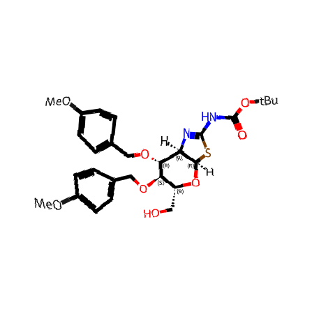 COc1ccc(CO[C@@H]2[C@H]3N=C(NC(=O)OC(C)(C)C)S[C@H]3O[C@H](CO)[C@H]2OCc2ccc(OC)cc2)cc1